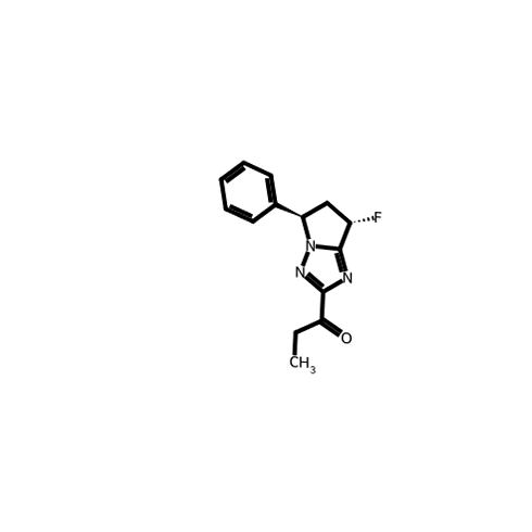 CCC(=O)c1nc2n(n1)[C@@H](c1ccccc1)C[C@@H]2F